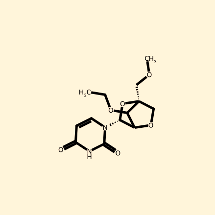 CCOC1C2OC[C@]1(COC)O[C@H]2n1ccc(=O)[nH]c1=O